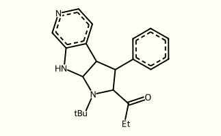 CCC(=O)C1C(c2ccccc2)C2c3ccncc3NC2N1C(C)(C)C